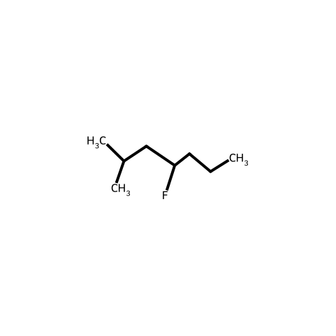 CCCC(F)CC(C)C